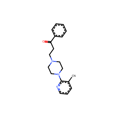 N#Cc1cccnc1N1CCN(CCC(=O)c2ccccc2)CC1